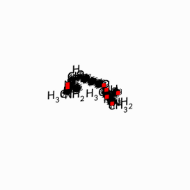 Cc1cc2nc3cc(C)c(NCC(=O)c4ccc(-c5ccc(-c6ccc(C(=O)CNc7cc8c(cc7C)nc7cc(C)c(N)cc7[n+]8-c7ccccc7)cc6)cc5)cc4)cc3[n+](-c3ccccc3)c2cc1N